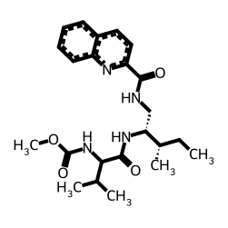 CC[C@H](C)[C@@H](CNC(=O)c1ccc2ccccc2n1)NC(=O)C(NC(=O)OC)C(C)C